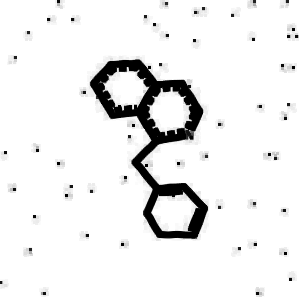 C1=CCCC(Cc2nccc3ccccc23)=C1